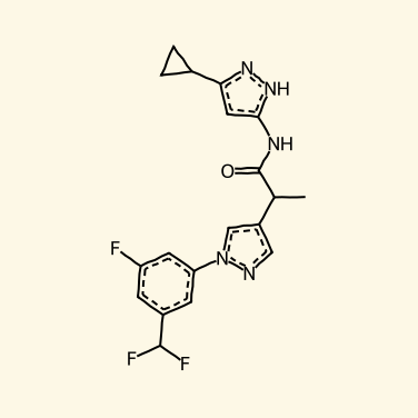 CC(C(=O)Nc1cc(C2CC2)n[nH]1)c1cnn(-c2cc(F)cc(C(F)F)c2)c1